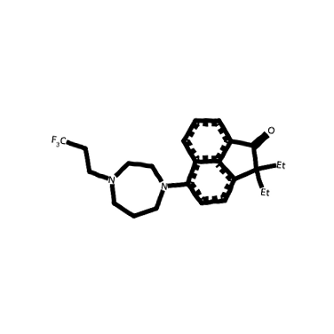 CCC1(CC)C(=O)c2cccc3c(N4CCCN(CCC(F)(F)F)CC4)ccc1c23